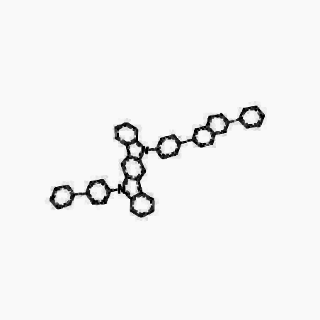 c1ccc(-c2ccc(-n3c4ccccc4c4cc5c(cc43)c3ccccc3n5-c3ccc(-c4ccc5cc(-c6ccccc6)ccc5c4)cc3)cc2)cc1